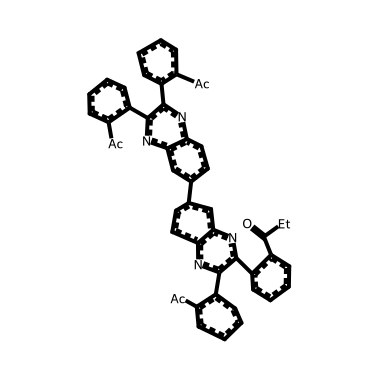 CCC(=O)c1ccccc1-c1nc2cc(-c3ccc4nc(-c5ccccc5C(C)=O)c(-c5ccccc5C(C)=O)nc4c3)ccc2nc1-c1ccccc1C(C)=O